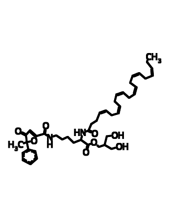 CC/C=C\C/C=C\C/C=C\C/C=C\C/C=C\C/C=C\CCC(=O)NC(CCCCNC(=O)C1=CC(=O)C(C)(c2ccccc2)O1)C(=O)OCC(CO)CO